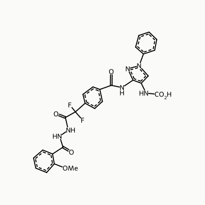 COc1ccccc1C(=O)NNC(=O)C(F)(F)c1ccc(C(=O)Nc2nn(-c3ccccc3)cc2NC(=O)O)cc1